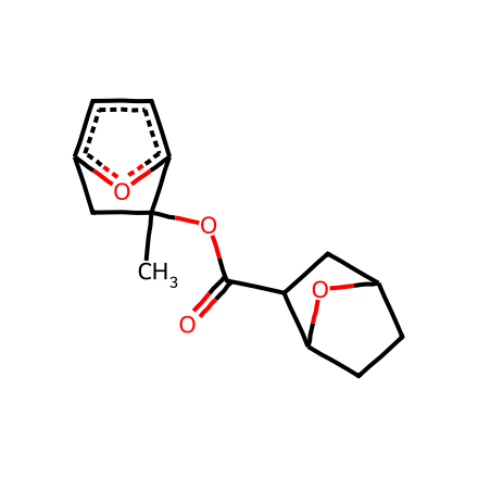 CC1(OC(=O)C2CC3CCC2O3)Cc2ccc1o2